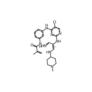 C=C(C)C(=O)Nc1cccc(Nc2nc(N/C(C=N)=C/NC3CCN(C)CC3)ncc2Cl)c1